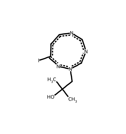 CC(C)(O)Cn1cncnccc(I)n1